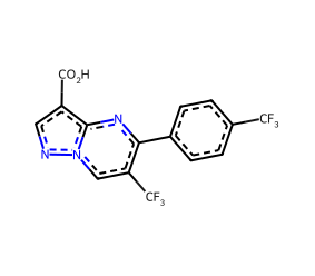 O=C(O)c1cnn2cc(C(F)(F)F)c(-c3ccc(C(F)(F)F)cc3)nc12